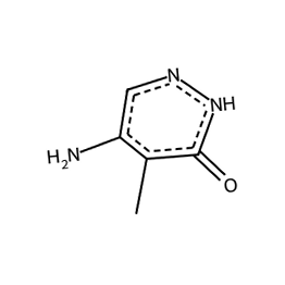 Cc1c(N)cn[nH]c1=O